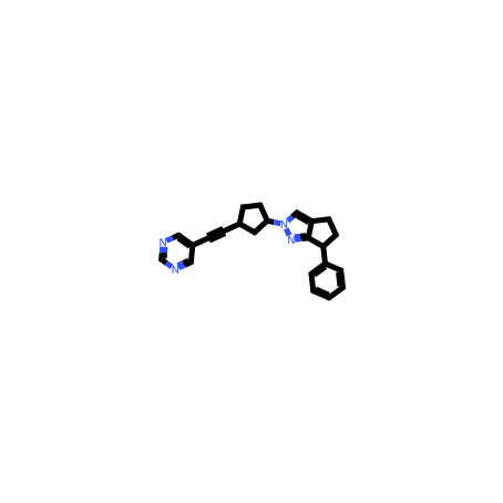 C(#CC1CCC(n2cc3c(n2)C(c2ccccc2)CC3)C1)c1cncnc1